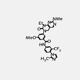 CCN1C(=O)N(c2cc(OC)cc(C(=O)Nc3ccc(-n4ccnc4C)c(C(F)(F)F)c3)c2)Cc2cnc(NC)nc21